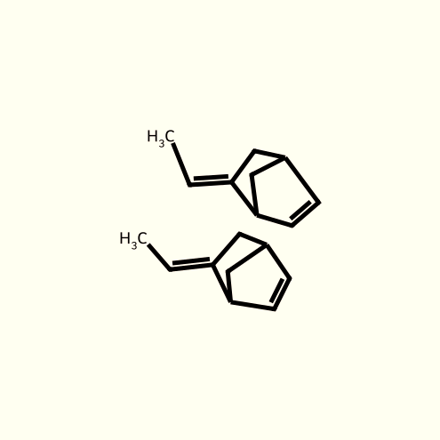 CC=C1CC2C=CC1C2.CC=C1CC2C=CC1C2